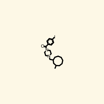 CC1CCCCCCC(CN2CCN(C(=O)c3ccc(I)cc3)CC2)C1